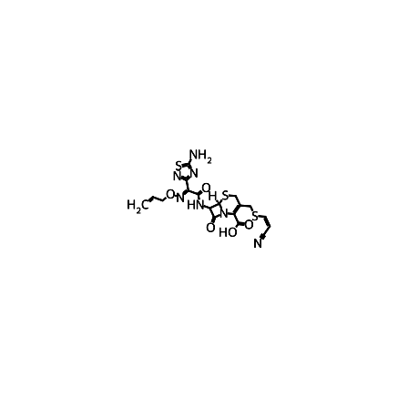 C=CCON=C(C(=O)NC1C(=O)N2C(C(=O)O)=C(CS/C=C\C#N)CS[C@@H]12)c1nsc(N)n1